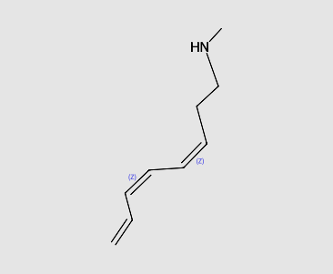 C=C/C=C\C=C/CCNC